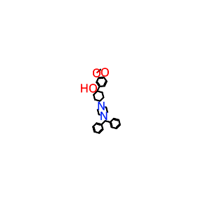 OC1(c2ccc3c(c2)OCO3)CCC(N2CCN(C(c3ccccc3)c3ccccc3)CC2)CC1